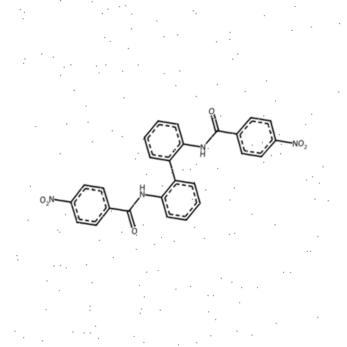 O=C(Nc1ccccc1-c1ccccc1NC(=O)c1ccc([N+](=O)[O-])cc1)c1ccc([N+](=O)[O-])cc1